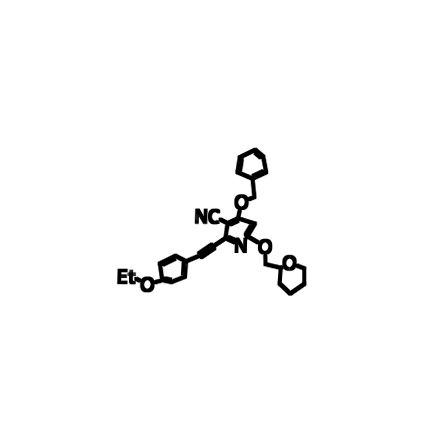 CCOc1ccc(C#Cc2nc(OCC3CCCCO3)cc(OCc3ccccc3)c2C#N)cc1